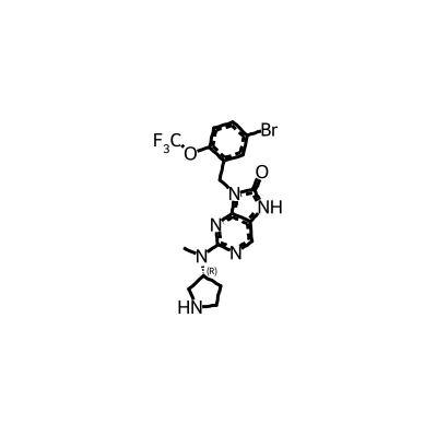 CN(c1ncc2[nH]c(=O)n(Cc3cc(Br)ccc3OC(F)(F)F)c2n1)[C@@H]1CCNC1